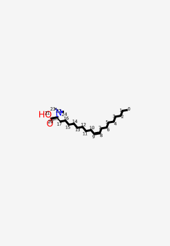 CCCCCCCC/C=C\CCCCCCCC[C@@H](C(=O)O)N(C)C